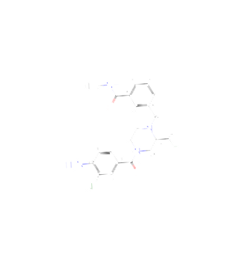 CC(C)(C)NC(=O)c1cccc(CN2CCN(C(=O)c3ccc(N)c(F)c3)CC2CF)c1